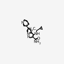 C[C@@H](Nc1c(C(N)=O)cnn2cc(-c3cccnc3)cc12)C1CC1